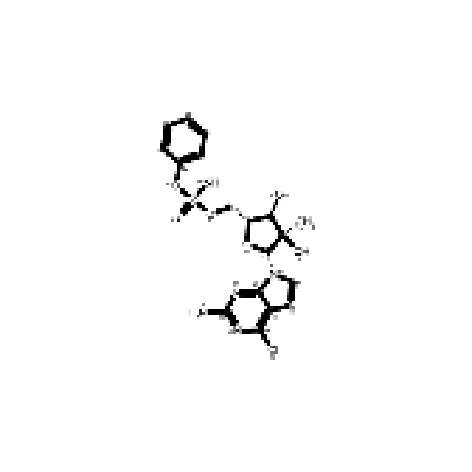 C[C@@]1(O)[C@H](O)[C@@H](COP(=S)(S)Oc2ccccc2)O[C@H]1n1cnc2c(Cl)nc(N)nc21